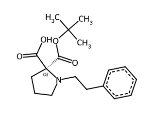 CC(C)(C)OC(=O)[C@@]1(C(=O)O)CCCN1CCc1ccccc1